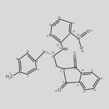 Cc1ccc(C[C@@H](CN2C(=O)c3ccccc3C2=O)Nc2ncccc2[N+](=O)[O-])cc1